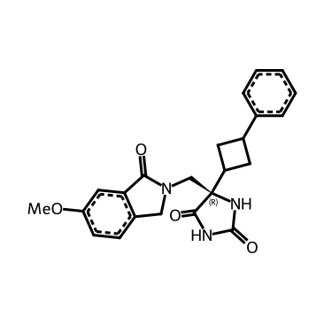 COc1ccc2c(c1)C(=O)N(C[C@@]1(C3CC(c4ccccc4)C3)NC(=O)NC1=O)C2